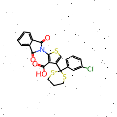 O=C(O)c1c(C2(c3cccc(Cl)c3)SCCCS2)csc1N1C(=O)c2ccccc2C1=O